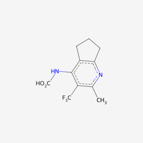 Cc1nc2c(c(NC(=O)O)c1C(F)(F)F)CCC2